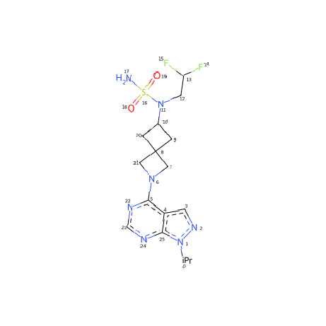 CC(C)n1ncc2c(N3CC4(CC(N(CC(F)F)S(N)(=O)=O)C4)C3)ncnc21